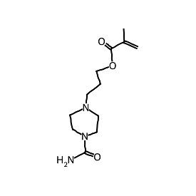 C=C(C)C(=O)OCCCN1CCN(C(N)=O)CC1